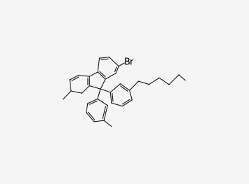 CCCCCCc1cccc(C2(c3cccc(C)c3)C3=C(C=CC(C)C3)c3ccc(Br)cc32)c1